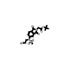 CC(C)(C)OC(=O)CN1C(=O)c2ccc(N(CCBr)S(C)(=O)=O)cc2C1=O